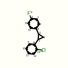 Fc1ccc([C]2CC2c2ccccc2Cl)cc1